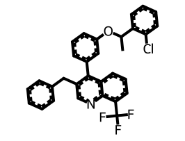 CC(Oc1cccc(-c2c(Cc3ccccc3)cnc3c(C(F)(F)F)cccc23)c1)c1ccccc1Cl